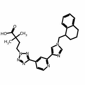 CC(C)(CCn1nnc(-c2ccnc(-c3cn(CC4CCCc5ccccc54)cn3)c2)n1)C(=O)O